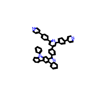 c1ccc(-n2c3ccccc3c3cc4c(cc32)c(-c2ccc(-c3cc(-c5ccc(-c6ccncc6)cc5)nc(-c5ccc(-c6ccncc6)cc5)c3)cc2)nc2ccccc24)cc1